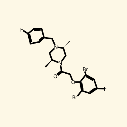 C[C@@H]1CN(C(=O)COc2c(Br)cc(F)cc2Br)[C@@H](C)CN1Cc1ccc(F)cc1